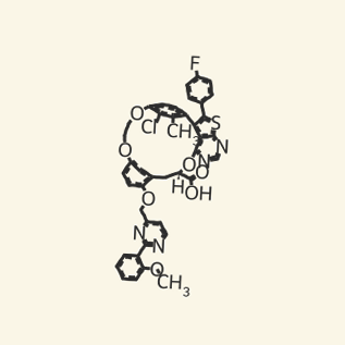 COc1ccccc1-c1nccc(COc2ccc3cc2C[C@H](C(=O)O)Oc2ncnc4sc(-c5ccc(F)cc5)c(c24)-c2ccc(c(Cl)c2C)OCCO3)n1